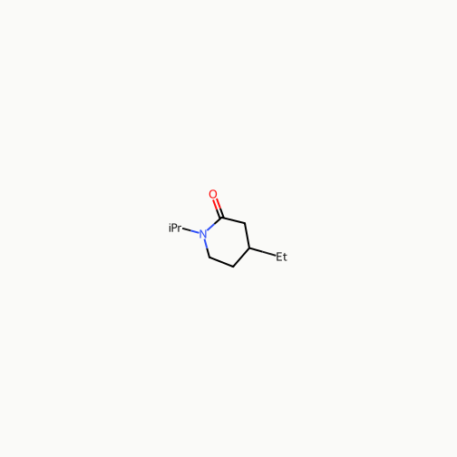 CCC1CCN(C(C)C)C(=O)C1